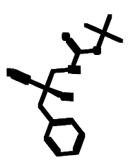 CC(C)(C)OC(=O)NC[C@@](O)(C#N)Cc1ccccc1